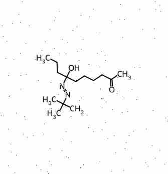 CCCC(O)(CCCCC(C)=O)N=NC(C)(C)C